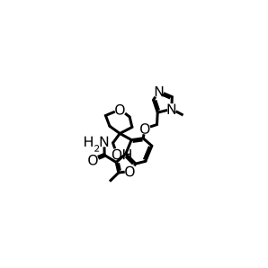 Cc1oc2ccc(OCc3cncn3C)c(C3(CO)CCOCC3)c2c1C(N)=O